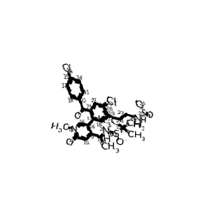 CC(N[S@@+]([O-])C(C)(C)C)c1cc(=O)n(C)cc1-c1cc(CCN[SH](=O)=O)c(Cl)cc1C(=O)c1ccc(Cl)cc1